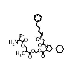 CC(COC(=O)[C@@H](N)C(C)C)C(=O)OCOC(=O)[C@@H]1C[C@@H](C2CCCCC2)CN1C(=O)C[PH](=O)CCCCc1ccccc1